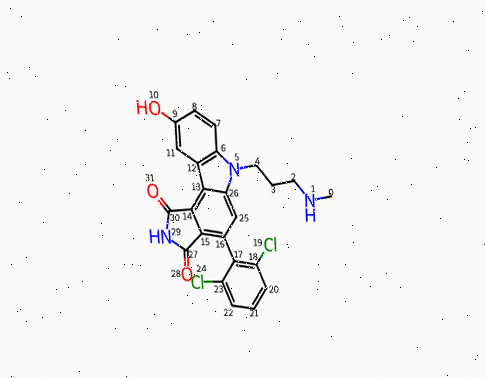 CNCCCn1c2ccc(O)cc2c2c3c(c(-c4c(Cl)cccc4Cl)cc21)C(=O)NC3=O